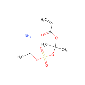 C=CC(=O)OC(C)(C)OS(=O)(=O)OCC.N